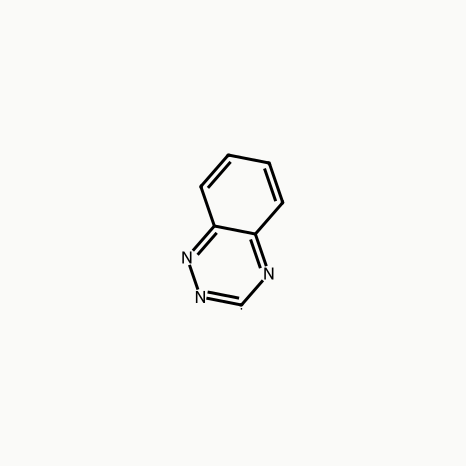 [c]1nnc2ccccc2n1